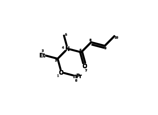 [CH2]CCOC(CC)N(C)C(=O)C=CC